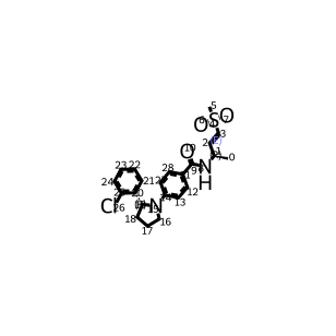 C[C@H](/C=C/S(C)(=O)=O)NC(=O)c1ccc(N2CCC[C@@H]2c2ccccc2Cl)cc1